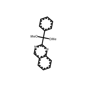 COC(OC)(c1ccccc1)c1ncc2ccccc2n1